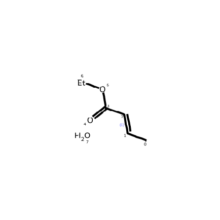 C/C=C/C(=O)OCC.O